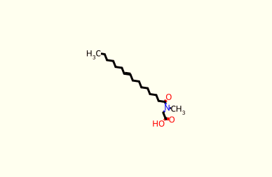 CCCCCCC=CCCCCCCCC(=O)N(C)CC(=O)O